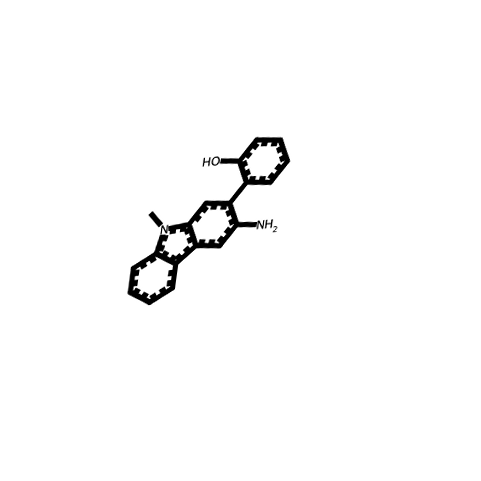 Cn1c2ccccc2c2cc(N)c(-c3ccccc3O)cc21